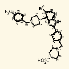 O=C(O)N1CCN(Cc2ccc(-c3nc4c(N5CCN(Cc6ccc(C(F)(F)F)nc6)CC5)c(Br)cnc4[nH]3)cc2)CC1